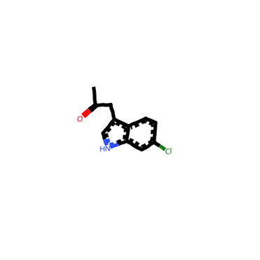 CC(=O)Cc1c[nH]c2cc(Cl)ccc12